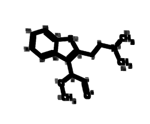 COC(C=O)c1c(CCN(C)C)sc2ccccc12